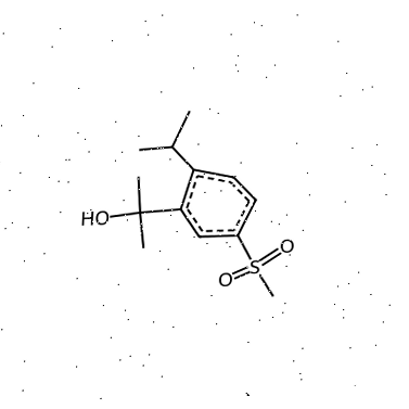 CC(C)c1ccc(S(C)(=O)=O)cc1C(C)(C)O